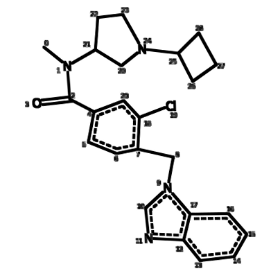 CN(C(=O)c1ccc(Cn2cnc3ccccc32)c(Cl)c1)C1CCN(C2CCC2)C1